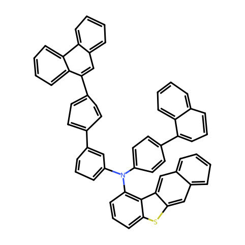 c1cc(-c2ccc(-c3cc4ccccc4c4ccccc34)cc2)cc(N(c2ccc(-c3cccc4ccccc34)cc2)c2cccc3sc4cc5ccccc5cc4c23)c1